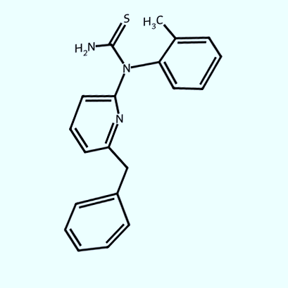 Cc1ccccc1N(C(N)=S)c1cccc(Cc2ccccc2)n1